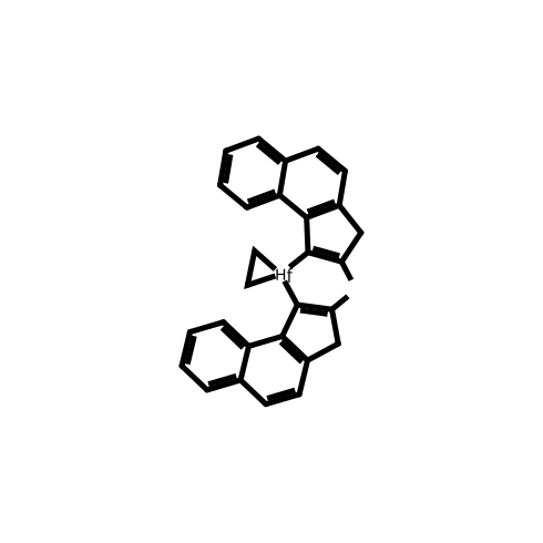 CC1=[C]([Hf]2([C]3=C(C)Cc4ccc5ccccc5c43)[CH2][CH2]2)c2c(ccc3ccccc23)C1